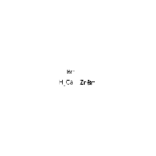 [Br-].[Br-].[CaH2].[Zn+2]